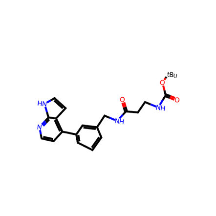 CC(C)(C)OC(=O)NCCC(=O)NCc1cccc(-c2ccnc3[nH]ccc23)c1